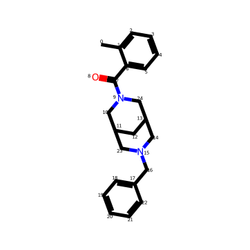 Cc1ccccc1C(=O)N1CC2CC(CN(Cc3ccccc3)C2)C1